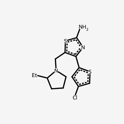 CCC1CCCN1Cc1sc(N)nc1-c1cc(Cl)cs1